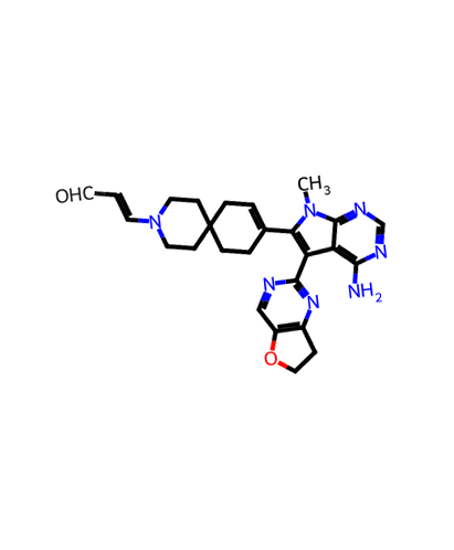 Cn1c(C2=CCC3(CC2)CCN(C=CC=O)CC3)c(-c2ncc3c(n2)CCO3)c2c(N)ncnc21